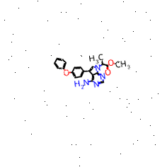 COC(=O)C(C)n1cc(-c2ccc(Oc3ccccc3)cc2)c2c(N)ncnc21